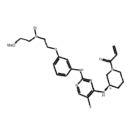 C=CC(=O)N1CCC[C@@H](Nc2nc(Nc3cccc(OCCN(CC)CCOC)c3)ncc2F)C1